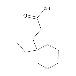 CCC1(CCC(=O)O)CCCCC1